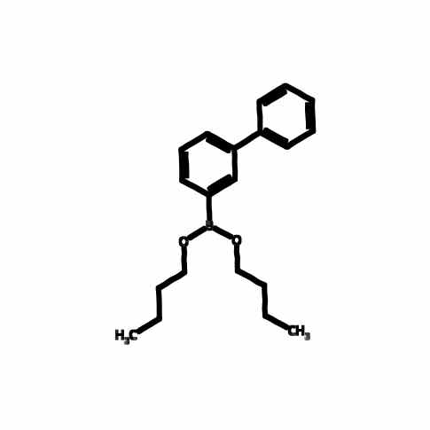 CCCCOB(OCCCC)c1cccc(-c2ccccc2)c1